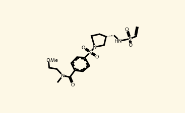 C=CS(=O)(=O)NC[C@H]1CCN(S(=O)(=O)c2ccc(C(=O)N(C)CCOC)cc2)C1